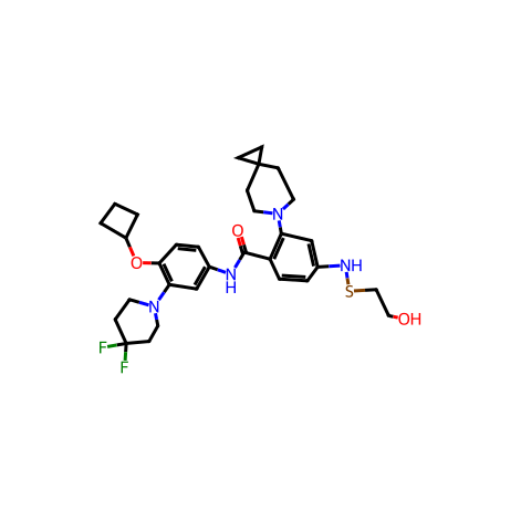 O=C(Nc1ccc(OC2CCC2)c(N2CCC(F)(F)CC2)c1)c1ccc(NSCCO)cc1N1CCC2(CC1)CC2